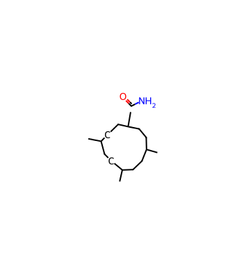 CC1CCC(C)CCC(C)CCC(C)CC1.NC=O